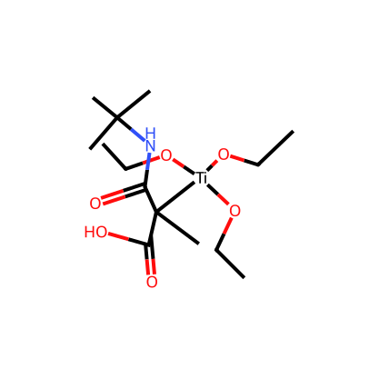 CC[O][Ti]([O]CC)([O]CC)[C](C)(C(=O)O)C(=O)NC(C)(C)C